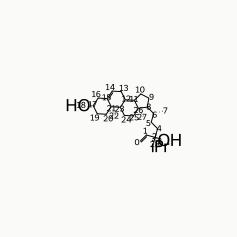 C=CC(O)(CC[C@@H](C)C1CCC2C3CC=C4C[C@@H](O)CC[C@]4(C)C3CC[C@@]21C)C(C)C